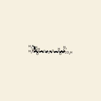 C=C[C@H](NC(=O)CN)C(=O)NCCCOCCOCCOCCCNC(=O)CC[C@H](C)C(=O)O